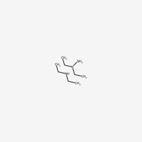 CCN([SiH3])CC.CCNCC